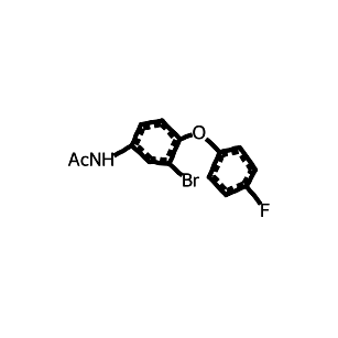 CC(=O)Nc1ccc(Oc2ccc(F)cc2)c(Br)c1